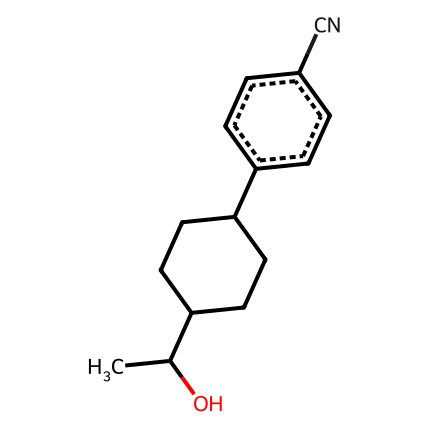 CC(O)C1CCC(c2ccc(C#N)cc2)CC1